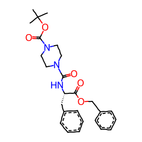 CC(C)(C)OC(=O)N1CCN(C(=O)N[C@@H](Cc2ccccc2)C(=O)OCc2ccccc2)CC1